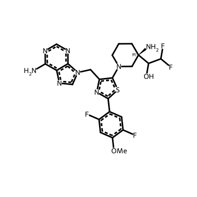 COc1cc(F)c(-c2nc(Cn3cnc4c(N)ncnc43)c(N3CCC[C@](N)(C(O)C(F)F)C3)s2)cc1F